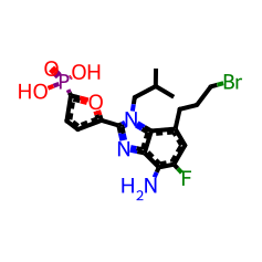 CC(C)Cn1c(-c2ccc(P(=O)(O)O)o2)nc2c(N)c(F)cc(CCCBr)c21